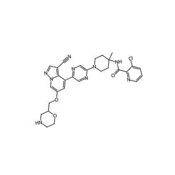 CC1(NC(=O)c2ncccc2Cl)CCN(c2cnc(-c3cc(OCC4CNCCO4)cn4ncc(C#N)c34)cn2)CC1